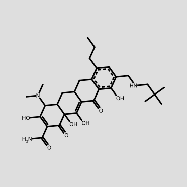 CCCc1cc(CNCC(C)(C)C)c(O)c2c1CC1CC3C(N(C)C)C(O)=C(C(N)=O)C(=O)C3(O)C(O)=C1C2=O